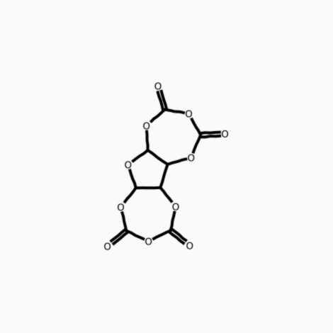 O=C1OC(=O)OC2C(O1)OC1OC(=O)OC(=O)OC12